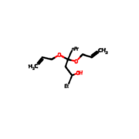 C=CCOC(CCC)(CC(O)CC)OCC=C